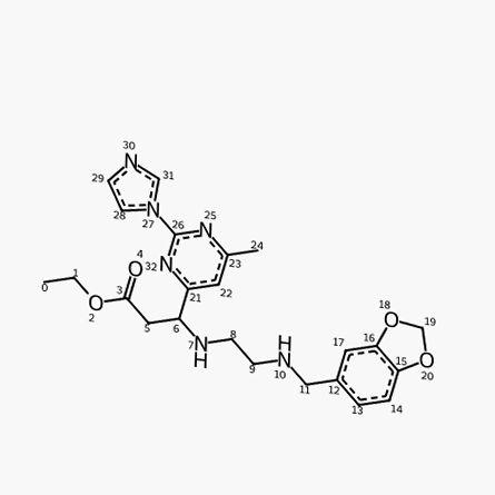 CCOC(=O)CC(NCCNCc1ccc2c(c1)OCO2)c1cc(C)nc(-n2ccnc2)n1